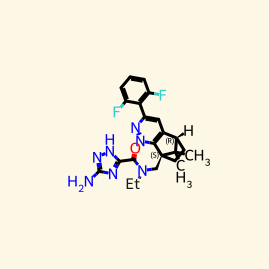 CCN(C[C@@]12CC[C@@H](c3cc(-c4c(F)cccc4F)nnc31)C2(C)C)C(=O)c1nc(N)n[nH]1